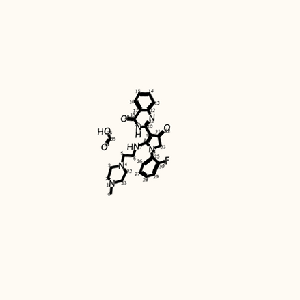 CN1CCN(CCNC2=C(c3nc4ccccc4c(=O)[nH]3)C(=O)CN2c2ccccc2F)CC1.O=CO